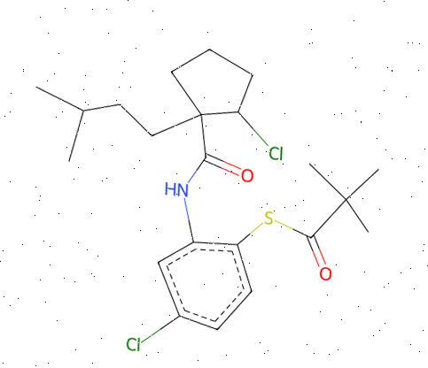 CC(C)CCC1(C(=O)Nc2cc(Cl)ccc2SC(=O)C(C)(C)C)CCCC1Cl